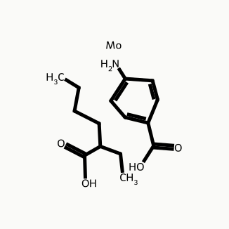 CCCCC(CC)C(=O)O.Nc1ccc(C(=O)O)cc1.[Mo]